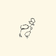 CN1CCC(OC(c2cccc(C#N)c2)c2nc3ccccc3s2)CC1